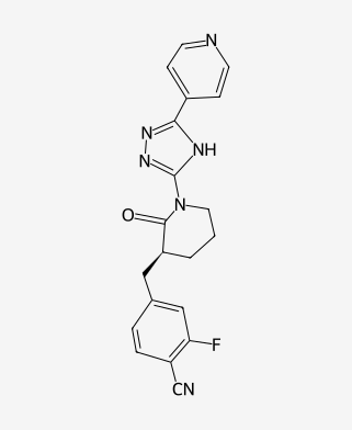 N#Cc1ccc(C[C@@H]2CCCN(c3nnc(-c4ccncc4)[nH]3)C2=O)cc1F